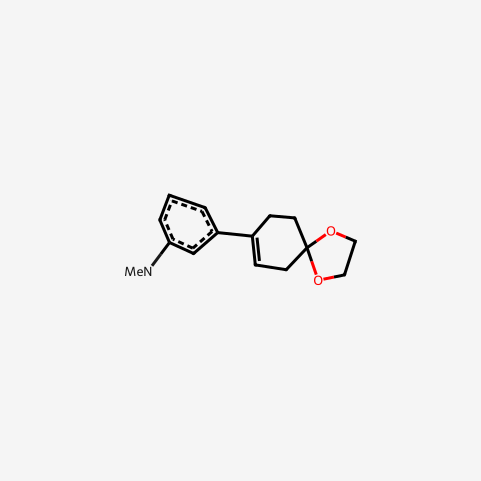 CNc1cccc(C2=CCC3(CC2)OCCO3)c1